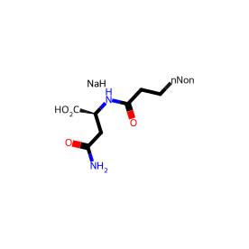 CCCCCCCCCCCC(=O)N[C@@H](CC(N)=O)C(=O)O.[NaH]